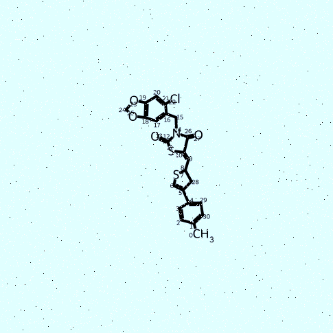 Cc1ccc(C2=CSC(/C=C3\SC(=O)N(Cc4cc5c(cc4Cl)OCO5)C3=O)C2)cc1